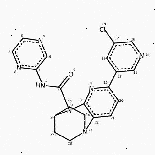 O=C(Nc1cnccn1)N1c2nc(-c3cncc(Cl)c3)ccc2N2CCC1CC2